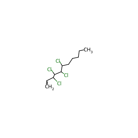 C=CC(Cl)C(Cl)C(Cl)C(Cl)CCCCC